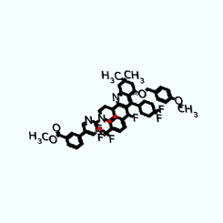 COC(=O)c1cccc(-c2cnc(N3CCC(c4nc5c(c(C6CCC(F)(F)CC6)c4C(F)c4ccc(C(F)(F)F)cc4)[C@@H](OCc4ccc(OC)cc4)CC(C)(C)C5)CC3)nc2)c1